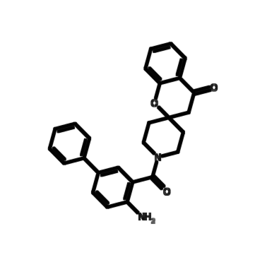 Nc1ccc(-c2ccccc2)cc1C(=O)N1CCC2(CC1)CC(=O)c1ccccc1O2